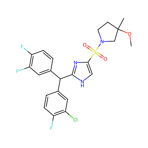 COC1(C)CCN(S(=O)(=O)c2c[nH]c(C(c3ccc(F)c(F)c3)c3ccc(F)c(Cl)c3)n2)C1